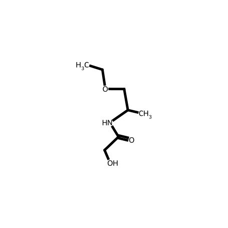 CCOCC(C)NC(=O)CO